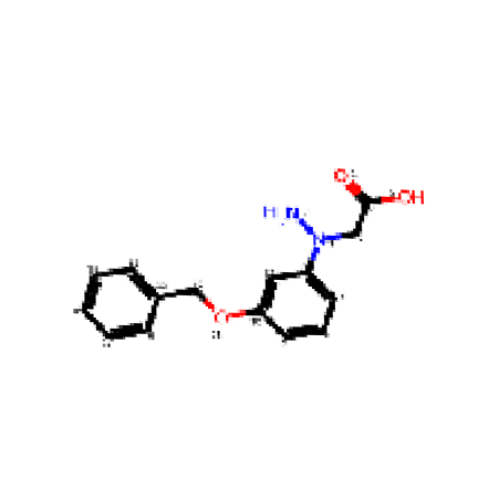 NN(CC(=O)O)c1cccc(OCc2ccccc2)c1